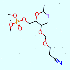 COP(=O)(OC)OCC(OC(C)I)C(C)OCOCCC#N